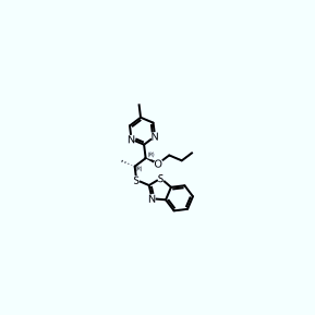 CCCO[C@H](c1ncc(C)cn1)[C@@H](C)Sc1nc2ccccc2s1